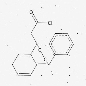 O=C(Cl)CC12CCC(=C3C=CCC=C31)c1ccccc12